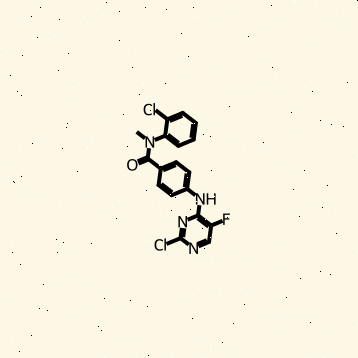 CN(C(=O)c1ccc(Nc2nc(Cl)ncc2F)cc1)c1ccccc1Cl